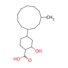 CC1CCCCCCCC(C2CCC(C(=O)O)C(O)C2)CC1